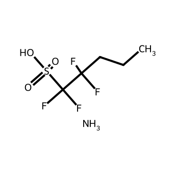 CCCC(F)(F)C(F)(F)S(=O)(=O)O.N